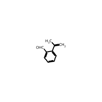 C=C(C)c1ccccc1C=O